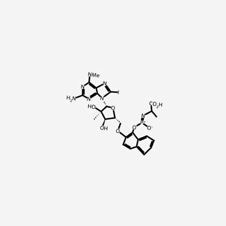 CNc1nc(N)nc2c1nc(I)n2[C@@H]1O[C@H](COc2ccc3ccccc3c2O/[P+]([O-])=N/C(C)C(=O)O)[C@@H](O)[C@@]1(C)O